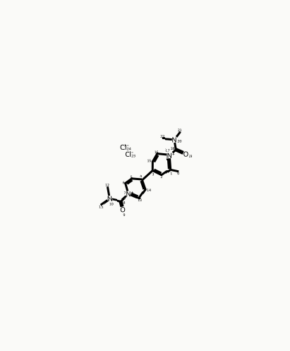 Cc1cc(-c2cc[n+](C(=O)N(C)C)cc2)cc[n+]1C(=O)N(C)C.[Cl-].[Cl-]